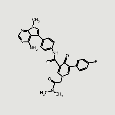 CN(C)C(=O)Cn1cc(C(=O)Nc2ccc(-c3cn(C)c4ncnc(N)c34)cc2)c(=O)c(-c2ccc(F)cc2)c1